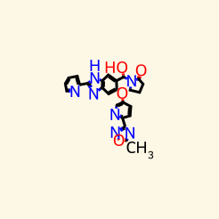 Cc1nc(-c2ccc(Oc3cc4nc(-c5ccccn5)[nH]c4cc3C(O)N3CCCC3=O)cn2)no1